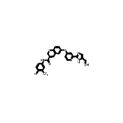 O=C(Nc1ccc(Cl)c(C(F)(F)F)c1)C1=Cc2cc(Oc3ccnc(-c4ncc(CO)[nH]4)c3)ccc2OC1